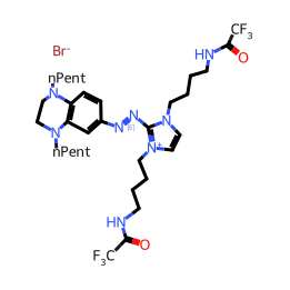 CCCCCN1CCN(CCCCC)c2cc(/N=N/c3n(CCCCNC(=O)C(F)(F)F)cc[n+]3CCCCNC(=O)C(F)(F)F)ccc21.[Br-]